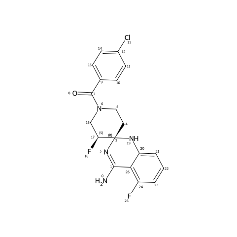 NC1=N[C@@]2(CCN(C(=O)c3ccc(Cl)cc3)C[C@@H]2F)Nc2cccc(F)c21